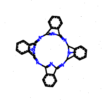 CN1C2/N=C3N=C(/N=c4\[nH]/c(c5ccccc45)=N\C4=NC(=N\C1c1ccccc12)/c1ccccc14)c1ccccc1\3